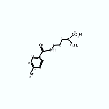 CN(CCCNC(=O)c1ccc(Br)cc1)C(=O)O